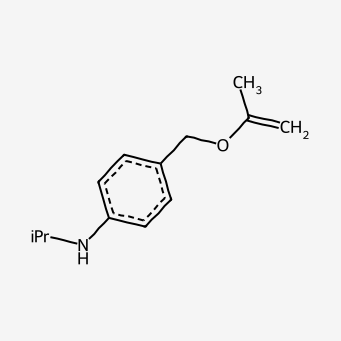 C=C(C)OCc1ccc(NC(C)C)cc1